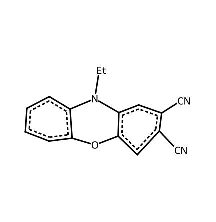 CCN1c2ccccc2Oc2cc(C#N)c(C#N)cc21